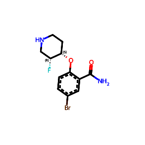 NC(=O)c1cc(Br)ccc1O[C@H]1CCNC[C@H]1F